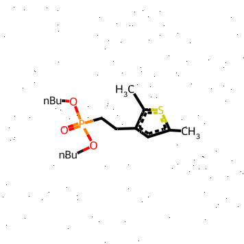 CCCCOP(=O)(CCc1cc(C)sc1C)OCCCC